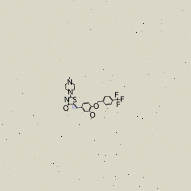 COc1cc(/C=C2\SC(N3CCN(C)CC3)=NC2=O)ccc1OCc1ccc(C(F)(F)F)cc1